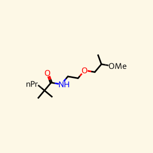 CCCC(C)(C)C(=O)NCCOCC(C)OC